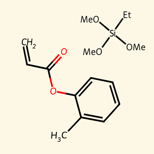 C=CC(=O)Oc1ccccc1C.CC[Si](OC)(OC)OC